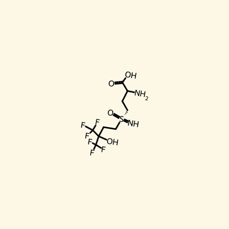 N=[S@@](=O)(CCC(N)C(=O)O)CCC(O)(C(F)(F)F)C(F)(F)F